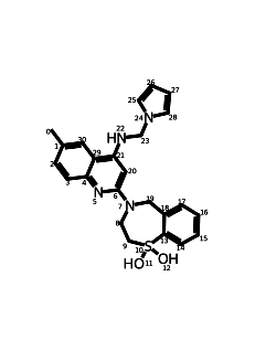 Cc1ccc2nc(N3CCS(O)(O)c4ccccc4C3)cc(NCn3cccc3)c2c1